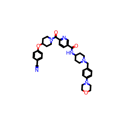 N#Cc1ccc(OC2CCN(C(=O)c3ccc(C(=O)NC4CCN(Cc5ccc(N6CCOCC6)cc5)CC4)cn3)CC2)cc1